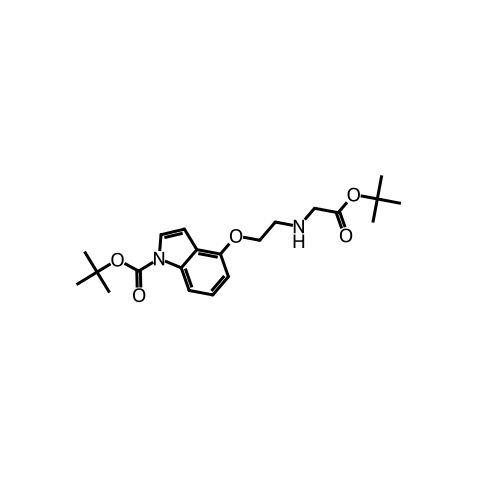 CC(C)(C)OC(=O)CNCCOc1cccc2c1ccn2C(=O)OC(C)(C)C